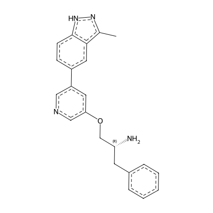 Cc1n[nH]c2ccc(-c3cncc(OC[C@H](N)Cc4ccccc4)c3)cc12